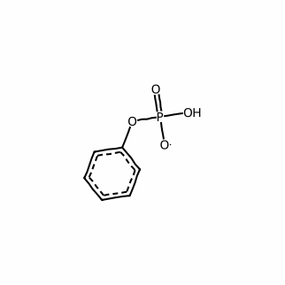 [O]P(=O)(O)Oc1ccccc1